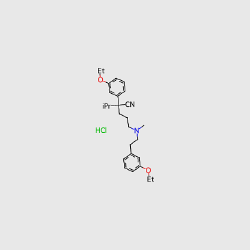 CCOc1cccc(CCN(C)CCCC(C#N)(c2cccc(OCC)c2)C(C)C)c1.Cl